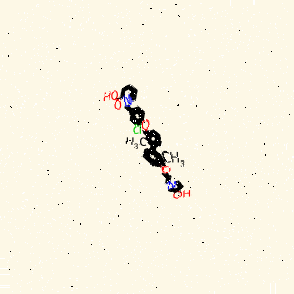 Cc1c(COc2ccc(CN3CCCC[C@H]3C(=O)O)cc2Cl)cccc1-c1cccc(OCCCN2CC[C@@H](O)C2)c1C